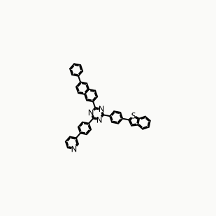 c1ccc(-c2ccc3cc(-c4nc(-c5ccc(-c6cccnc6)cc5)nc(-c5ccc(-c6cc7ccccc7s6)cc5)n4)ccc3c2)cc1